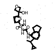 CC(c1ccc2c(c1NC(=O)NS(=N)(=O)c1ccc(C3(O)COC3)s1)CCC2)C1CC1